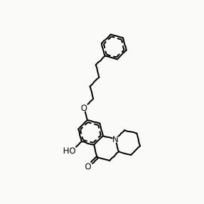 O=C1CC2CCCCN2c2cc(OCCCCc3ccccc3)cc(O)c21